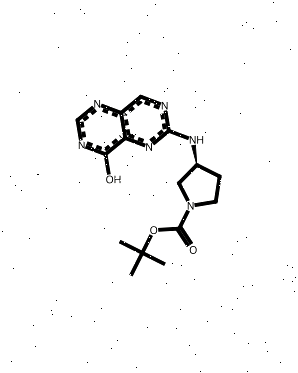 CC(C)(C)OC(=O)N1CC[C@H](Nc2ncc3ncnc(O)c3n2)C1